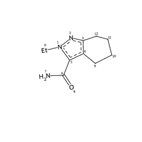 CCn1nc2c(c1C(N)=O)CCCC2